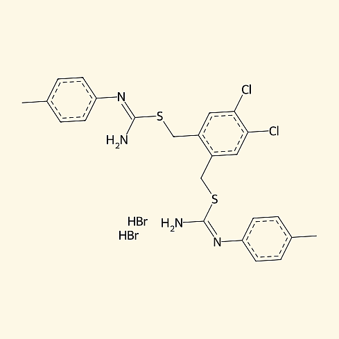 Br.Br.Cc1ccc(N=C(N)SCc2cc(Cl)c(Cl)cc2CS/C(N)=N/c2ccc(C)cc2)cc1